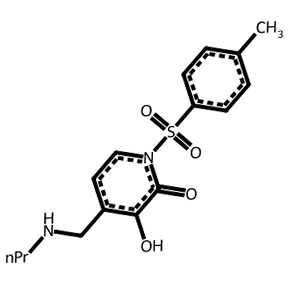 CCCNCc1ccn(S(=O)(=O)c2ccc(C)cc2)c(=O)c1O